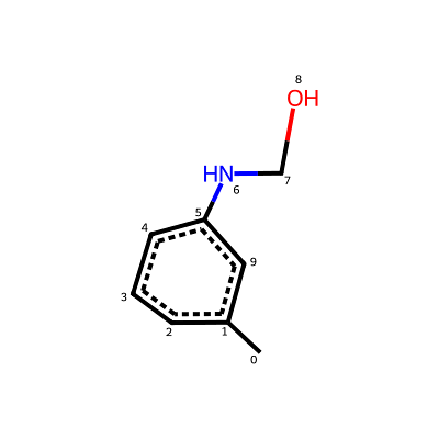 Cc1cccc(NCO)c1